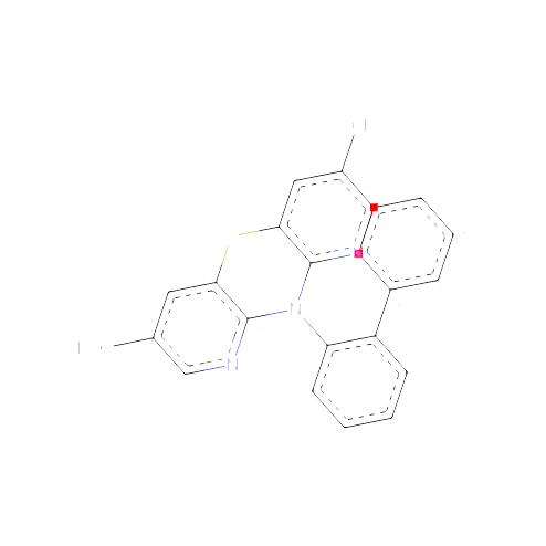 Cc1cnc2c(c1)Sc1cc(C)cnc1N2c1ccccc1-c1ccccc1